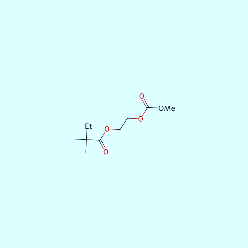 CCC(C)(C)C(=O)OCCOC(=O)OC